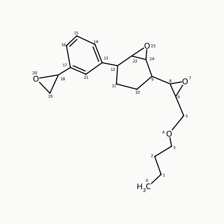 CCCCOCC1OC1C1CCC(c2cccc(C3CO3)c2)C2OC12